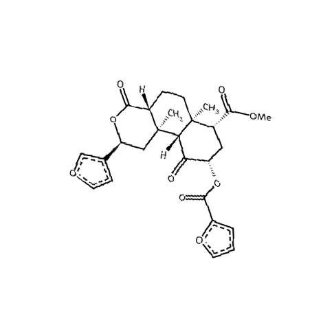 COC(=O)[C@@H]1C[C@H](OC(=O)c2ccco2)C(=O)[C@H]2[C@@]1(C)CC[C@H]1C(=O)O[C@H](c3ccoc3)C[C@]21C